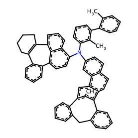 Cc1ccccc1-c1cccc(N(c2ccc3ccc4c5c(C)c(cc4c3c2)-c2ccccc2Cc2ccccc2-5)c2ccc3c4c(cccc24)C2=C(CCCC2)c2ccccc2-3)c1C